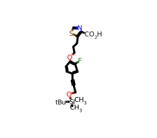 CC(C)(C)[Si](C)(C)OCC#Cc1ccc(OCCCc2scnc2C(=O)O)c(F)c1